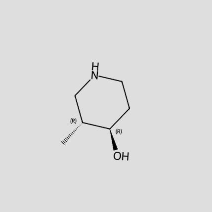 C[C@@H]1CNCC[C@H]1O